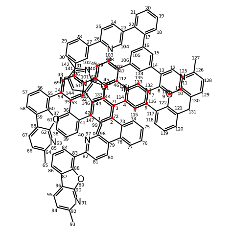 C=C/C=C(/c1ccc(-c2ccccc2-c2cc(-c3ccccc3-c3ccc(-c4cccc(-c5ccc(-c6ccccc6-c6cc(-c7ccccc7-c7ccc(-c8cccc9c8oc8nc(C)ccc89)nc7)cc(-c7ccccc7-c7ccc(-c8cccc9c8oc8nc(C)ccc89)nc7)c6)cn5)c4)nc3)cc(-c3ccccc3-c3ccc(-c4cccc5c4Oc4nc(C)ccc4C5)nc3)c2)cn1)c1oc2nc(C)ccc2c1C